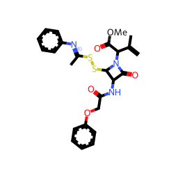 C=C(C)C(C(=O)OC)N1C(=O)C(NC(=O)COc2ccccc2)C1SS/C(C)=N/c1ccccc1